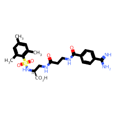 Cc1cc(C)c(S(=O)(=O)N[C@@H](CNC(=O)CCNC(=O)c2ccc(C(=N)N)cc2)C(=O)O)c(C)c1